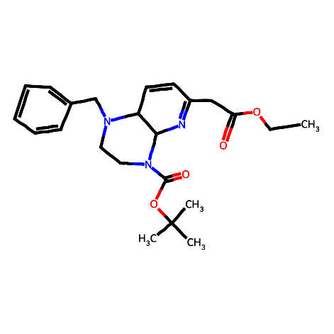 CCOC(=O)CC1=NC2C(C=C1)N(Cc1ccccc1)CCN2C(=O)OC(C)(C)C